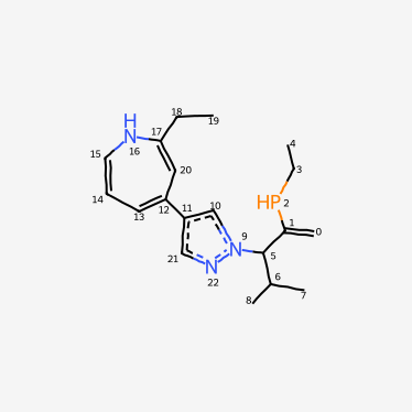 C=C(PCC)C(C(C)C)n1cc(C2=CC=CNC(CC)=C2)cn1